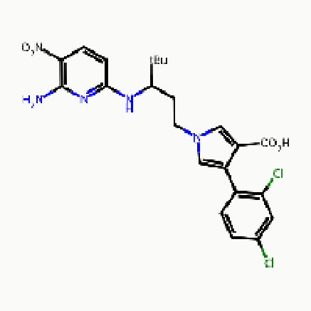 CC(C)(C)C(CCn1cc(C(=O)O)c(-c2ccc(Cl)cc2Cl)c1)Nc1ccc([N+](=O)[O-])c(N)n1